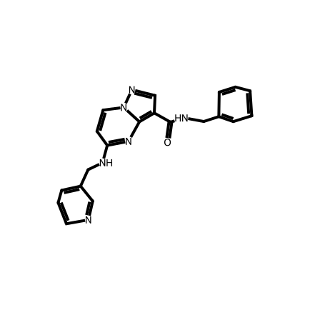 O=C(NCc1ccccc1)c1cnn2ccc(NCc3cccnc3)nc12